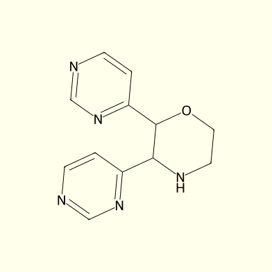 c1cc(C2NCCOC2c2ccncn2)ncn1